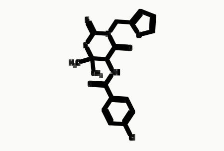 CC1(C)SC(=S)N(Cc2ccco2)C(=O)C1NC(=O)c1ccc(Cl)cc1